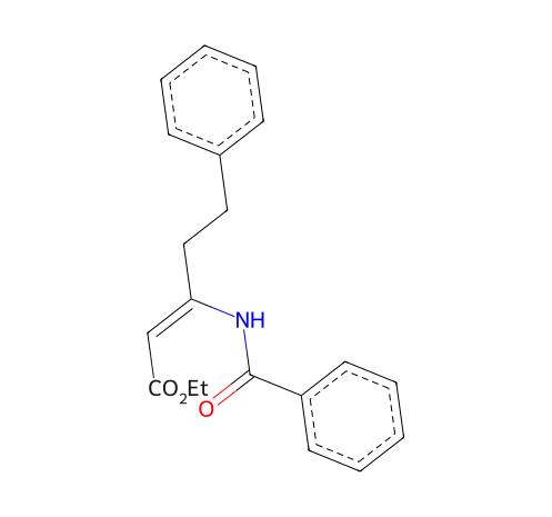 CCOC(=O)C=C(CCc1ccccc1)NC(=O)c1ccccc1